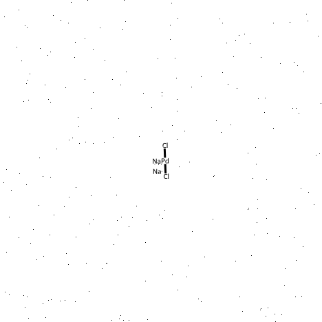 [Cl][Pd][Cl].[Na].[Na]